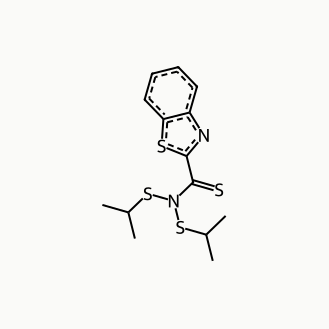 CC(C)SN(SC(C)C)C(=S)c1nc2ccccc2s1